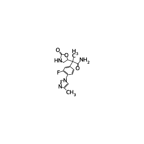 Cc1cn(-c2ccc(C(C)(C(N)=O)C3CNC(=O)O3)cc2F)cn1